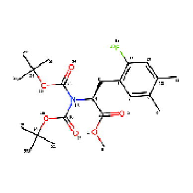 COC(=O)[C@H](Cc1cc(C)c(C)cc1[18F])N(C(=O)OC(C)(C)C)C(=O)OC(C)(C)C